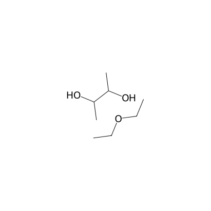 CC(O)C(C)O.CCOCC